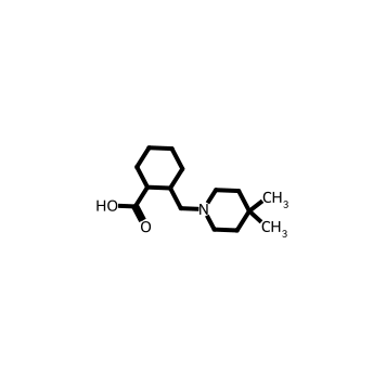 CC1(C)CCN(CC2CCCCC2C(=O)O)CC1